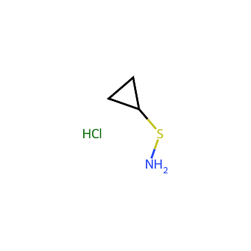 Cl.NSC1CC1